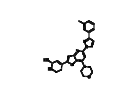 Cc1cccc(-c2ccn(-c3cc(N4CCOCC4)c4oc(C5=CC(O)NCC5)cc4n3)n2)c1